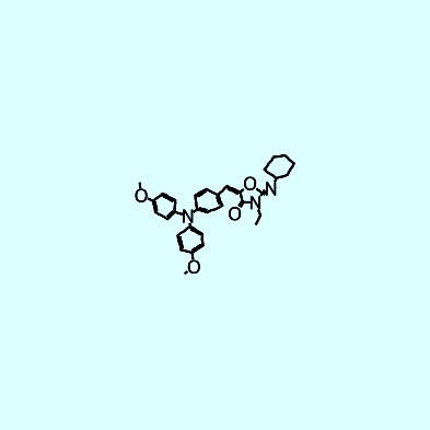 CCN1C(=O)/C(=C\c2ccc(N(c3ccc(OC)cc3)c3ccc(OC)cc3)cc2)OC1=NC1CCCCC1